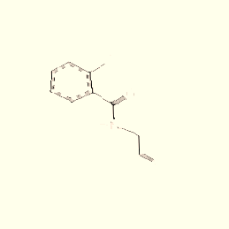 C=CCNC(=O)c1ccccc1S